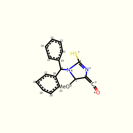 COC1C(=C=O)N=C(S)N1C(c1ccccc1)c1ccccc1